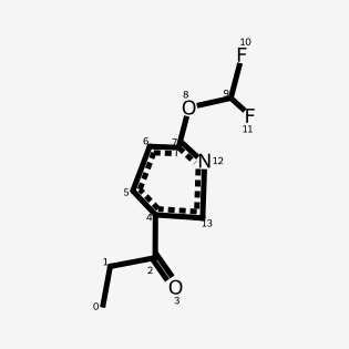 CCC(=O)c1ccc(OC(F)F)nc1